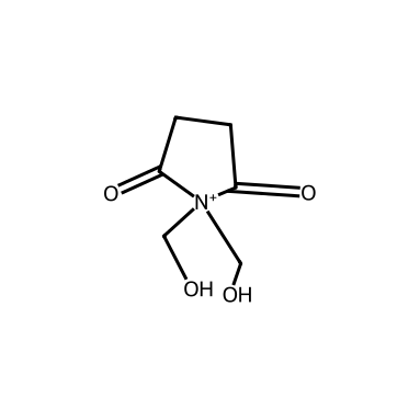 O=C1CCC(=O)[N+]1(CO)CO